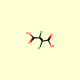 O=C(O)C(Cl)=C(Cl)C(=O)O